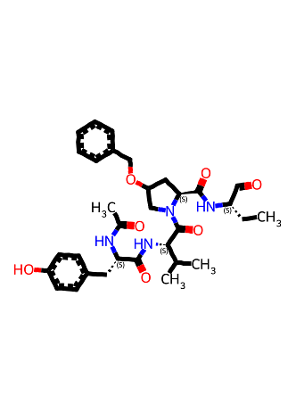 CC[C@@H](C=O)NC(=O)[C@@H]1CC(OCc2ccccc2)CN1C(=O)[C@@H](NC(=O)[C@H](Cc1ccc(O)cc1)NC(C)=O)C(C)C